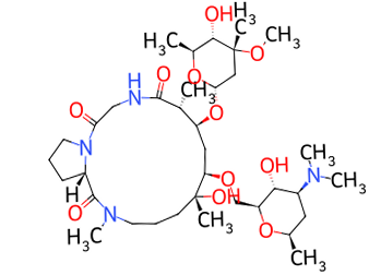 CO[C@]1(C)C[C@H](O[C@H]2C[C@@H](OC[C@@H]3O[C@H](C)C[C@H](N(C)C)[C@H]3O)[C@](C)(O)CCCN(C)C(=O)[C@@H]3CCCN3C(=O)CNC(=O)[C@@H]2C)O[C@@H](C)[C@@H]1O